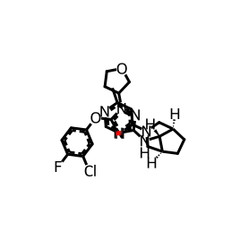 Cc1cc(N2C[C@H]3CC[C@@H](C2)[C@@H]3Nc2nc(Oc3ccc(F)c(Cl)c3)n(C3CCOC3)n2)ncn1